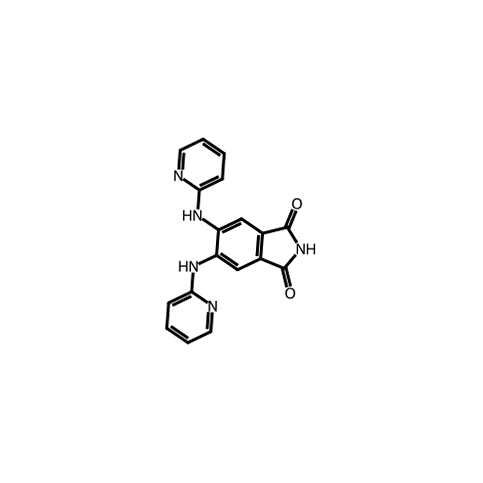 O=C1NC(=O)c2cc(Nc3ccccn3)c(Nc3ccccn3)cc21